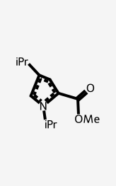 COC(=O)c1cc(C(C)C)cn1C(C)C